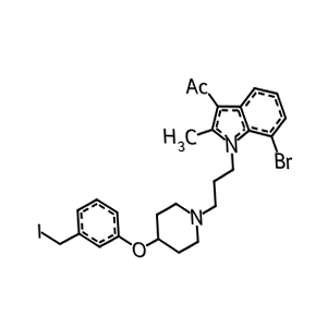 CC(=O)c1c(C)n(CCCN2CCC(Oc3cccc(CI)c3)CC2)c2c(Br)cccc12